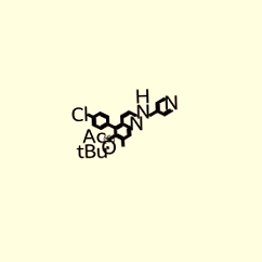 CC(=O)[C@@H](OC(C)(C)C)c1c(C)cc2nc(NCc3ccncc3)ccc2c1-c1ccc(Cl)cc1